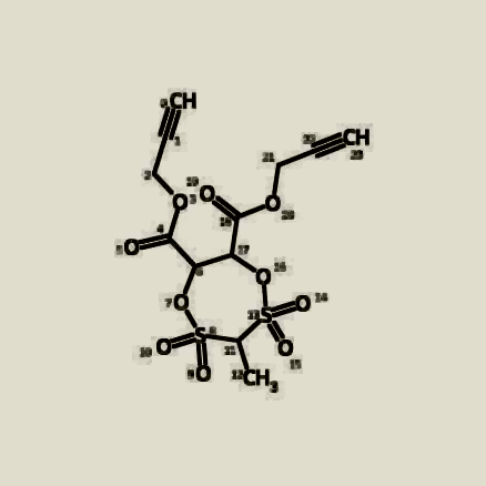 C#CCOC(=O)C1OS(=O)(=O)C(C)S(=O)(=O)OC1C(=O)OCC#C